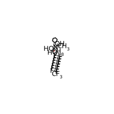 CC(O)[N+](Cc1ccccc1)(CC(O)CC(F)(F)C(F)(F)C(F)(F)C(F)(F)C(F)(F)C(F)(F)C(F)(F)C(F)(F)F)C(C)O